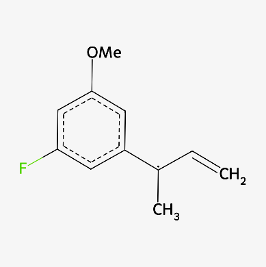 C=C[C](C)c1cc(F)cc(OC)c1